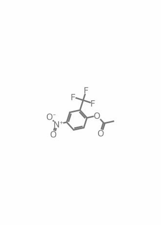 CC(=O)Oc1ccc([N+](=O)[O-])cc1C(F)(F)F